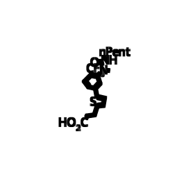 CCCCCNC(=O)N(C)c1cc(-c2ccc(CCC(=O)O)s2)ccc1C(F)(F)F